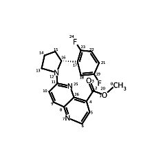 COC(=O)c1ccnc2ccc(N3CCC[C@@H]3c3cc(F)ccc3F)nc12